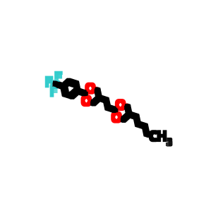 CCCCCC1COC(CCC2COC(c3ccc(C(F)(F)F)cc3)OC2)OC1